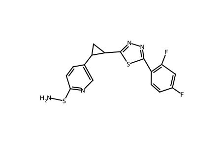 NSc1ccc(C2CC2c2nnc(-c3ccc(F)cc3F)s2)cn1